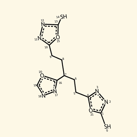 Sc1nnc(CCC(CCc2nnc(S)o2)c2nnco2)o1